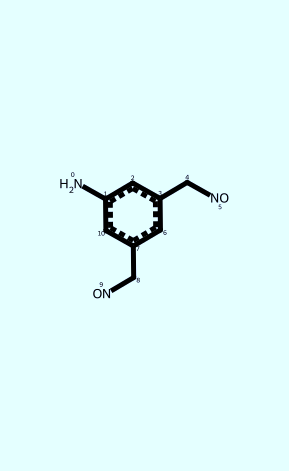 Nc1cc(CN=O)cc(CN=O)c1